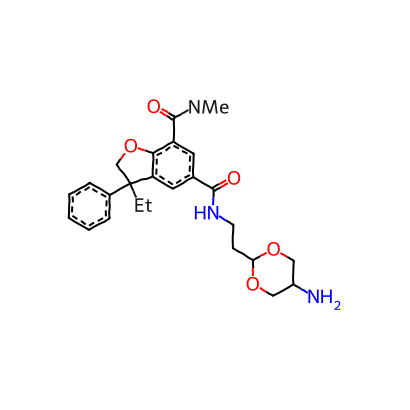 CCC1(c2ccccc2)COc2c(C(=O)NC)cc(C(=O)NCCC3OCC(N)CO3)cc21